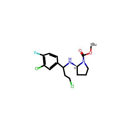 CC(C)(C)OC(=O)N1CCC[C@H]1NC(CCCl)c1ccc(F)c(Cl)c1